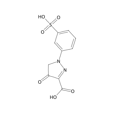 O=C(O)C1=NN(c2cccc(S(=O)(=O)O)c2)CC1=O